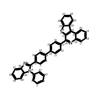 c1ccc(-n2c(-c3ccc(-c4ccc(-c5nc6ccccc6c6c5sc5ccccc56)cc4)cc3)nc3ccccc32)cc1